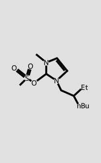 CCCCC(CC)CN1C=CN(C)C1OS(C)(=O)=O